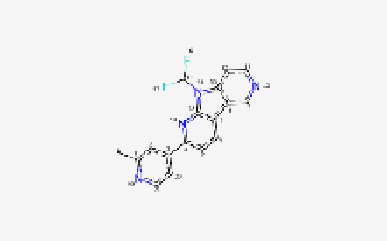 Cc1cc(-c2ccc3c4cnccc4n(C(F)F)c3n2)ccn1